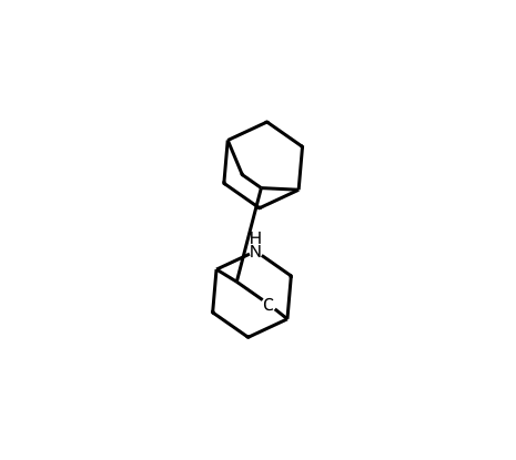 C1CC2CCC1CC2C1CC2CCC1NC2